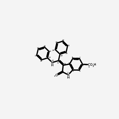 O=C1Nc2cc(C(=O)O)ccc2/C1=C(/Nc1ccccc1)c1ccccc1